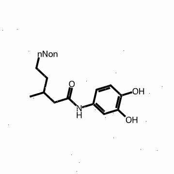 CCCCCCCCCCCC(C)CC(=O)Nc1ccc(O)c(O)c1